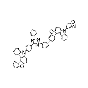 c1ccc(-c2nc(-c3ccc(-n4c5ccccc5c5c6c(ccc54)oc4ccccc46)cc3)nc(-c3cccc(-c4ccc5c(c4)oc4ccc6c(c7ccccc7n6-c6ccc7ocnc7c6)c45)c3)n2)cc1